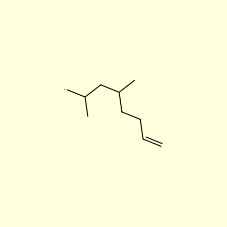 [CH2]C(C)CC(C)CCC=C